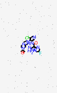 Nc1nn2c(c1C(=O)Nc1cncc(Cl)c1N1CCN3CCN(C4COC4)CC3C1)N=CC(F)C2